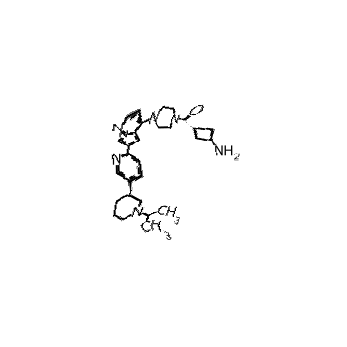 CC(C)N1CCC[C@@H](c2ccc(-c3cc4c(N5CCN(C(=O)[C@H]6C[C@H](N)C6)CC5)ccnn4c3)nc2)C1